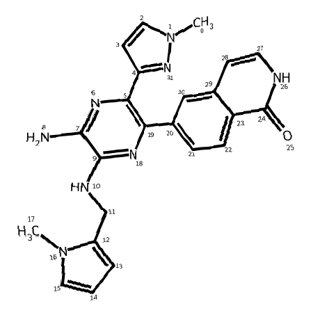 Cn1ccc(-c2nc(N)c(NCc3cccn3C)nc2-c2ccc3c(=O)[nH]ccc3c2)n1